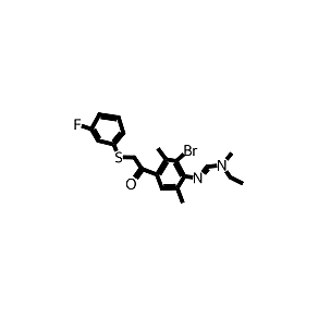 CCN(C)C=Nc1c(C)cc(C(=O)CSc2cccc(F)c2)c(C)c1Br